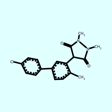 Cc1ccc(-c2ccc(Cl)cc2)cc1C1C(=O)N(C)N(C)C1=O